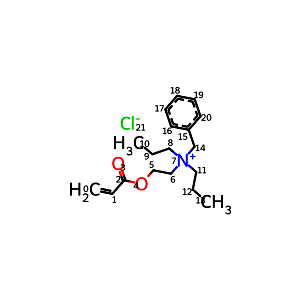 C=CC(=O)OCC[N+](CCC)(CCC)Cc1ccccc1.[Cl-]